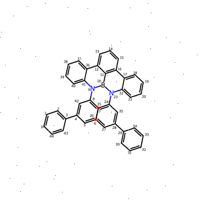 c1ccc(-c2cccc(N3B4c5c(cccc5-c5ccccc5N4c4cccc(-c5ccccc5)c4)-c4ccccc43)c2)cc1